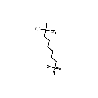 O=S(=O)(Cl)CCCCCCC(F)(C(F)(F)F)C(F)(F)F